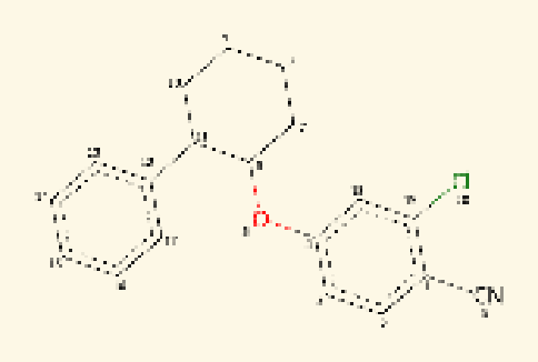 N#Cc1ccc(OC2CCCCC2c2ccccc2)cc1Cl